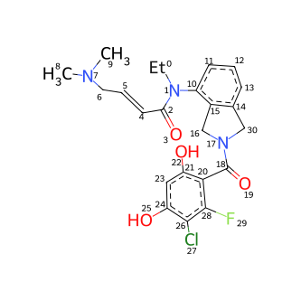 CCN(C(=O)/C=C/CN(C)C)c1cccc2c1CN(C(=O)c1c(O)cc(O)c(Cl)c1F)C2